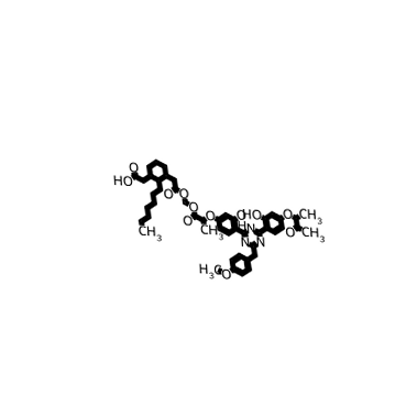 CCCCCCCC1C(CC(=O)O)CCCC1CC(=O)OCOC(=O)C(C)Oc1ccc(-c2nc(Cc3ccc(OC)cc3)nc(-c3ccc(OC(C)C(C)=O)cc3O)n2)c(O)c1